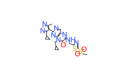 CCS(=O)(=O)c1cnc(CNc2nc3cnc(-c4c(C)ncnc4C4CC4)nc3n([C@@H](C)C3CC3)c2=O)s1